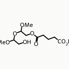 COC(CO)OC(COC(=O)CCCC(=O)O)OC